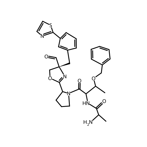 CC(N)C(=O)NC(C(=O)N1CCCC1C1=N[C@](C=O)(Cc2cccc(-c3nccs3)c2)CO1)C(C)OCc1ccccc1